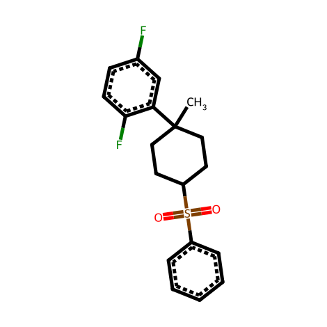 CC1(c2cc(F)ccc2F)CCC(S(=O)(=O)c2ccccc2)CC1